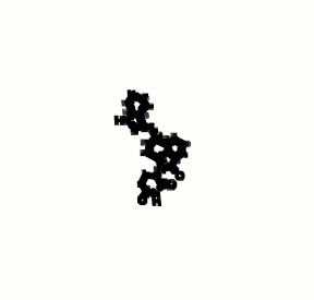 O=C1CCC(N2C(=O)c3cccc4c(Sc5c[nH]c6cnccc56)ccc2c34)C(=O)N1